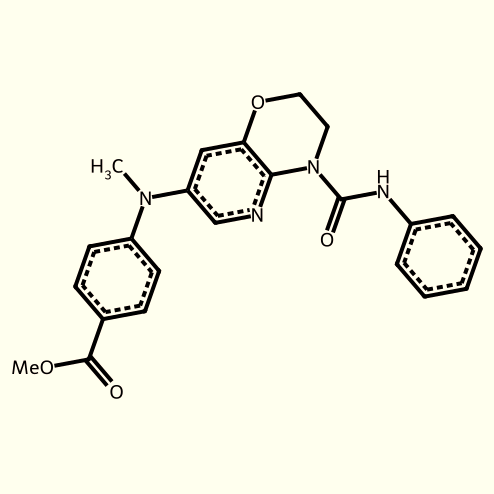 COC(=O)c1ccc(N(C)c2cnc3c(c2)OCCN3C(=O)Nc2ccccc2)cc1